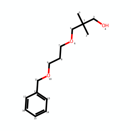 CC(C)(CO)COCCCOCc1ccccc1